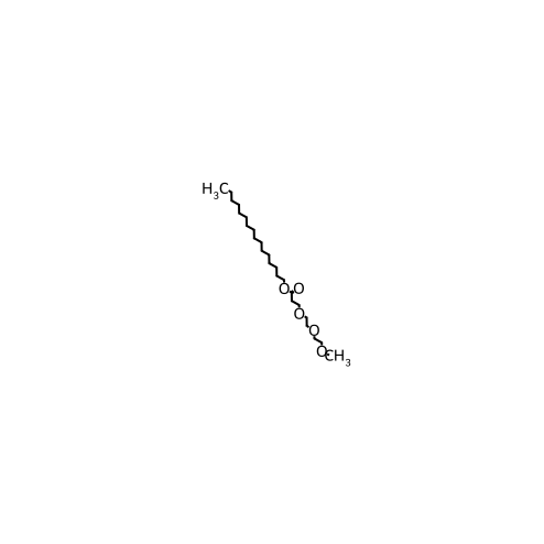 CCCCCCCCCCCCCCCCOC(=O)CCOCCOCCOC